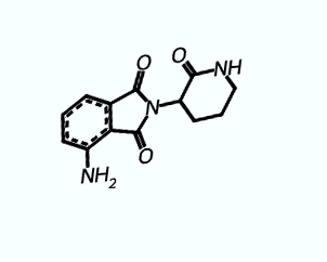 Nc1cccc2c1C(=O)N(C1CCCNC1=O)C2=O